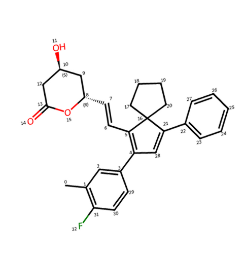 Cc1cc(C2=C(C=C[C@H]3C[C@H](O)CC(=O)O3)C3(CCCC3)C(c3ccccc3)=C2)ccc1F